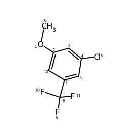 COc1cc(Cl)cc(C(F)(F)F)c1